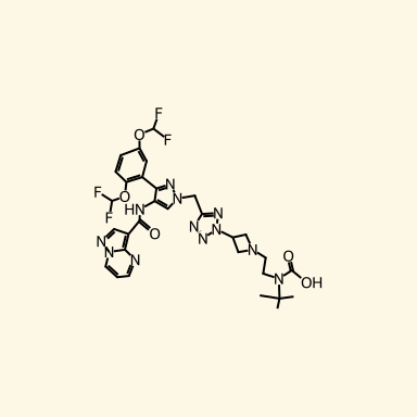 CC(C)(C)N(CCN1CC(n2nnc(Cn3cc(NC(=O)c4cnn5cccnc45)c(-c4cc(OC(F)F)ccc4OC(F)F)n3)n2)C1)C(=O)O